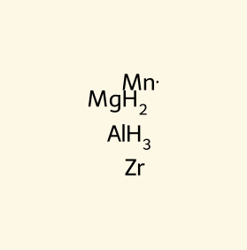 [AlH3].[MgH2].[Mn].[Zr]